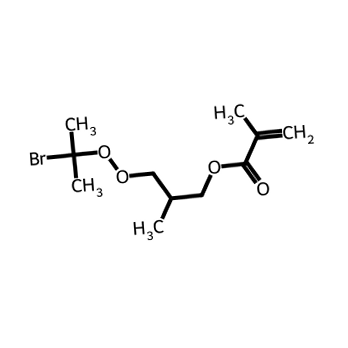 C=C(C)C(=O)OCC(C)COOC(C)(C)Br